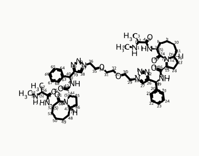 CN[C@@H](C)C(=O)N[C@H]1CCCC[C@H]2CC[C@@H](C(=O)N[C@@H](c3ccccc3)c3cn(CCOCCOCCn4cc([C@@H](NC(=O)[C@@H]5CC[C@@H]6CCCC[C@H](NC(=O)[C@H](C)NC)C(=O)N65)c5ccccc5)nn4)nn3)N2C1=O